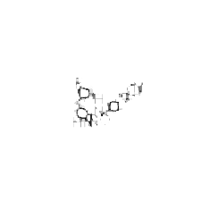 CN1CCC2(CC1)CN(c1ccc(C(=O)Nc3n[nH]c4ccc(Cc5cc(F)cc(F)c5)cc34)cc1)C2